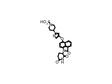 O=C1CCC(N2C(=O)c3cccc4c(Oc5cnn(C6CCN(C(=O)O)CC6)c5)ccc2c34)C(=O)N1